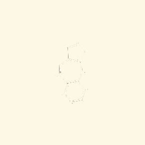 C1=Cc2coc3cnccc3[nH]n2C1